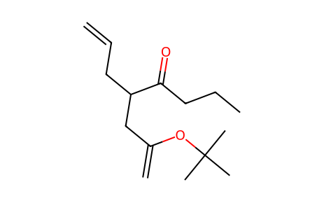 C=CCC(CC(=C)OC(C)(C)C)C(=O)CCC